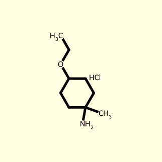 CCOC1CCC(C)(N)CC1.Cl